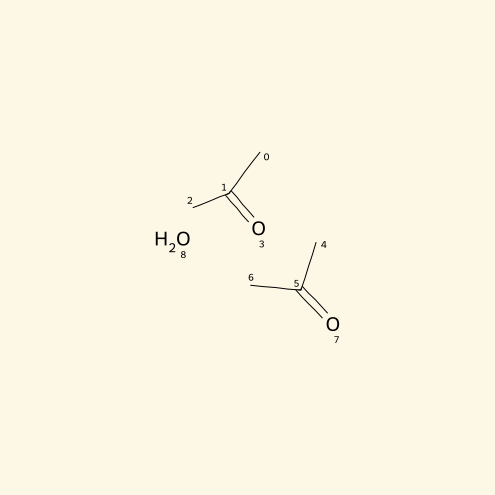 CC(C)=O.CC(C)=O.O